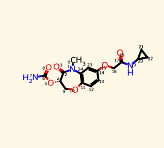 CN1C(=O)[C@@H](OC(N)=O)COc2ccc(OCC(=O)NC3CC3)cc21